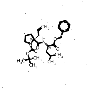 C=CC[C@@]1(C(=O)N[C@H](CC(C)C)C(=O)OCc2ccccc2)CCCN1C(=O)OC(C)(C)C